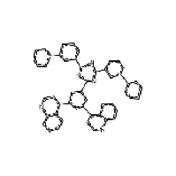 c1ccc(-c2cccc(-c3nc(-c4cccc(-c5ccccc5)c4)nc(-c4cc(-c5ccnc6ccccc56)cc(-c5ccnc6ccccc56)c4)n3)c2)cc1